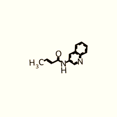 C/C=C/C(=O)Nc1cnc2ccccc2c1